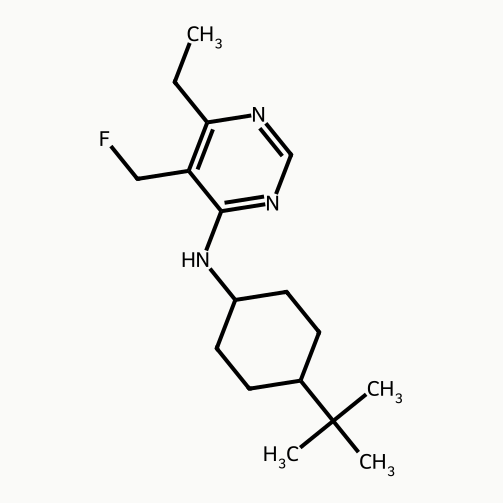 CCc1ncnc(NC2CCC(C(C)(C)C)CC2)c1CF